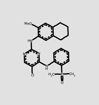 COc1cc2c(cc1Nc1ncc(Cl)c(Nc3ccccc3P(C)(C)=O)n1)CCCC2